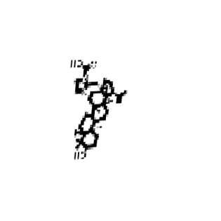 C=C(C)[C@@H]1CC[C@]2(Cc3nccn3C(=O)O)CC[C@]3(C)[C@H](CCC4[C@@]5(C)CC[C@H](O)C(C)(C)[C@@H]5CC[C@]43C)[C@@H]12